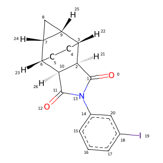 O=C1[C@@H]2[C@@H]3CC[C@@H]([C@@H]4C[C@@H]43)[C@@H]2C(=O)N1c1cccc(I)c1